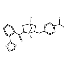 O=C(c1ccccc1-n1nccn1)N1C[C@H]2C[C@@H](Oc3ccc(C(F)F)cn3)[C@@H]1C2